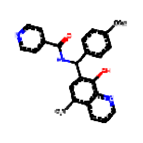 COc1ccc(C(NC(=O)c2ccncc2)c2cc([N+](=O)[O-])c3cccnc3c2O)cc1